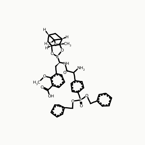 COc1c(C[C@H](NC(=O)C(N)c2ccc(P(=O)(OCc3ccccc3)OCc3ccccc3)cc2)B2O[C@@H]3C[C@@H]4C[C@@H](C4(C)C)[C@]3(C)O2)cccc1C(=O)O